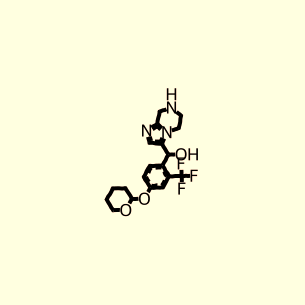 OC(c1ccc(OC2CCCCO2)cc1C(F)(F)F)c1cnc2n1CCNC2